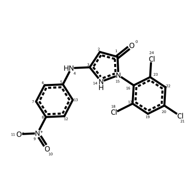 O=c1cc(Nc2ccc([N+](=O)[O-])cc2)[nH]n1-c1c(Cl)cc(Cl)cc1Cl